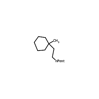 CCCCCCCC1(C)CCCCC1